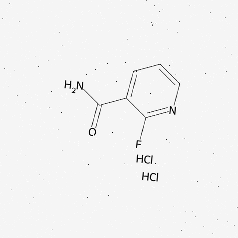 Cl.Cl.NC(=O)c1cccnc1F